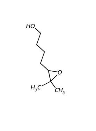 CC1(C)OC1CCCCO